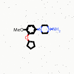 COc1ccc(N2CCN(N)CC2)cc1OC1CCCC1